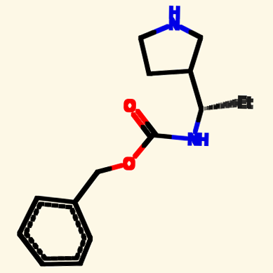 CC[C@H](NC(=O)OCc1ccccc1)C1CCNC1